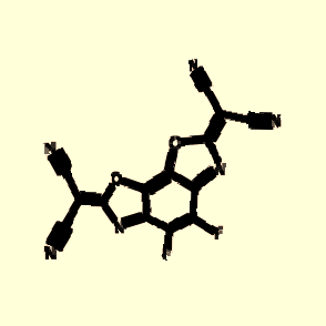 N#CC(C#N)=c1nc2c(F)c(F)c3nc(=C(C#N)C#N)oc3c2o1